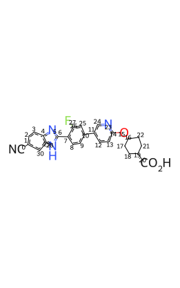 N#Cc1ccc2nc(-c3ccc(-c4ccc(OC5CCC(C(=O)O)CC5)nc4)cc3F)[nH]c2c1